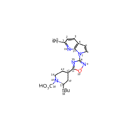 CC(C)c1ccc2ccn(-c3noc(C4CCN(C(=O)O)C(C(C)(C)C)C4)n3)c2n1